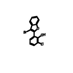 Oc1c(Cl)cccc1-c1oc2ccccc2c1Br